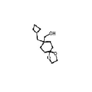 OCC1(CC2CCC2)CCC2(CC1)OCCO2